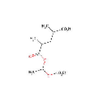 CCOC(=O)OC(C)OC(=O)C(C)CC(C)C(=O)O